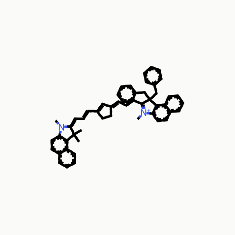 CN1/C(=C/C=C/C2=CC(=C/C=C/C3=[N+](C)c4ccc5ccccc5c4C3(Cc3ccccc3)Cc3ccccc3)/CC2)C(C)(C)c2c1ccc1ccccc21